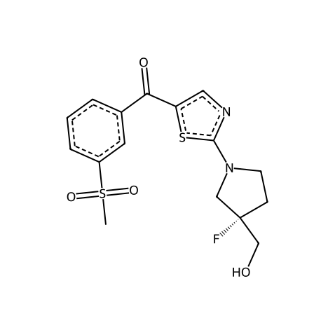 CS(=O)(=O)c1cccc(C(=O)c2cnc(N3CC[C@@](F)(CO)C3)s2)c1